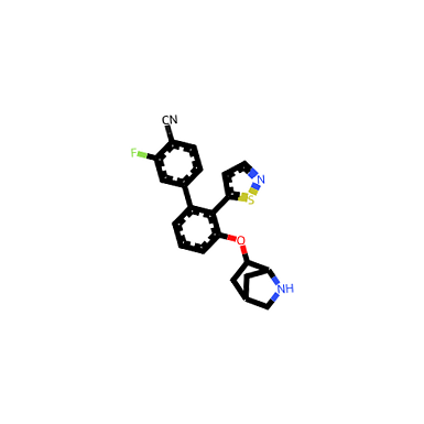 N#Cc1ccc(-c2cccc(OC3CC4CNC3C4)c2-c2ccns2)cc1F